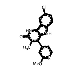 COc1cc(-c2c(C)c(=O)[nH]c3c2[nH]c2ccc(Cl)cc23)ccn1